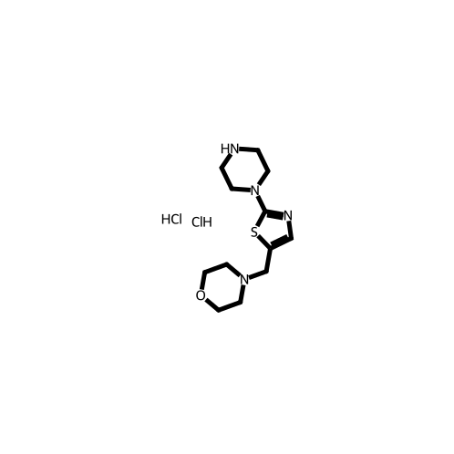 Cl.Cl.c1nc(N2CCNCC2)sc1CN1CCOCC1